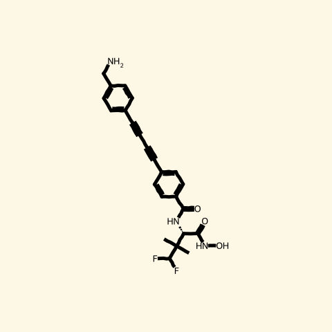 CC(C)(C(F)F)[C@H](NC(=O)c1ccc(C#CC#Cc2ccc(CN)cc2)cc1)C(=O)NO